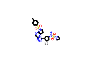 CC[C@@H]1CC(NS(=O)(=O)N2CCC2)C[C@@H]1c1nnc2cnc3c(ccn3S(=O)(=O)c3ccc(C)cc3)n12